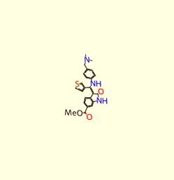 COC(=O)c1ccc2c(c1)NC(=O)/C2=C(\Nc1ccc(CN(C)C)cc1)c1ccsc1